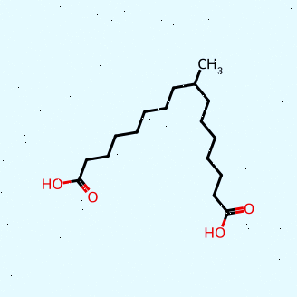 CC(CCCCCCCC(=O)O)CCCCCCC(=O)O